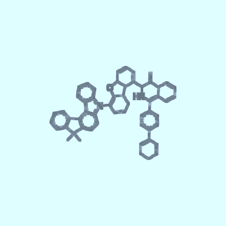 C=C1C2C=CC=CC2=C(c2ccc(C3=CCCC=C3)cc2)NC1C1=CC=CC2OC3=C(n4c5ccccc5c5c6c(ccc54)C(C)(C)c4ccccc4-6)C=CCC3C12